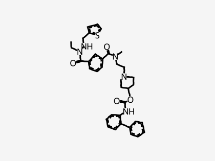 CCN(NCc1cccs1)C(=O)c1cccc(C(=O)N(C)CCN2CCC(OC(=O)Nc3ccccc3-c3ccccc3)CC2)c1